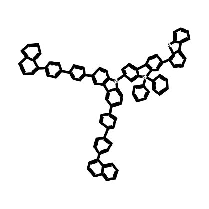 c1ccc([Si]2(c3ccccc3)c3cc(-c4cccc5c4sc4ccccc45)ccc3-c3ccc(-n4c5ccc(-c6ccc(-c7ccc(-c8cccc9ccccc89)cc7)cc6)cc5c5cc(-c6ccc(-c7ccc(-c8cccc9ccccc89)cc7)cc6)ccc54)cc32)cc1